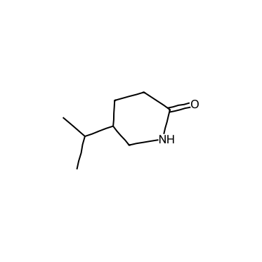 CC(C)C1CCC(=O)NC1